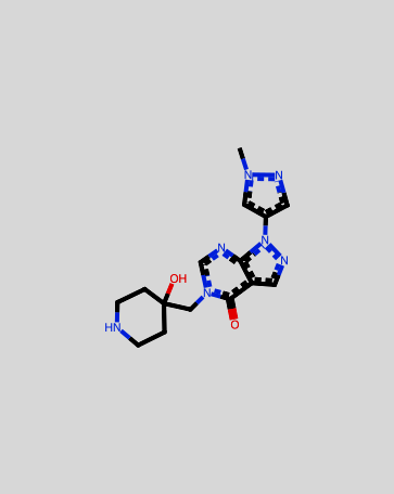 Cn1cc(-n2ncc3c(=O)n(CC4(O)CCNCC4)cnc32)cn1